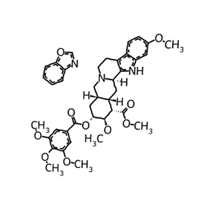 COC(=O)[C@H]1[C@H]2C[C@@H]3c4[nH]c5cc(OC)ccc5c4CCN3C[C@H]2C[C@@H](OC(=O)c2cc(OC)c(OC)c(OC)c2)[C@@H]1OC.c1ccc2ocnc2c1